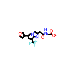 COC(=O)CNC(=O)Cc1cn2cc(-c3ccoc3)cc(C(F)(F)F)c2n1